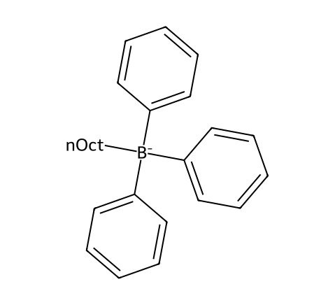 CCCCCCCC[B-](c1ccccc1)(c1ccccc1)c1ccccc1